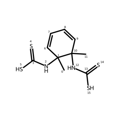 CC1(NC(=S)S)C=CC=CC1(C)NC(=S)S